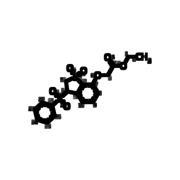 CCOC(=O)COc1cccc2c1S(=O)(=O)CC2S(=O)(=O)c1ccccc1